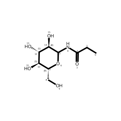 CCC(=O)NC1O[C@H](CO)[C@@H](O)[C@H](O)[C@H]1O